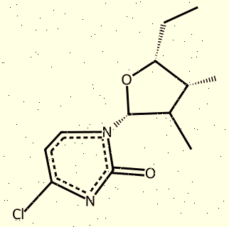 CC[C@H]1O[C@@H](n2ccc(Cl)nc2=O)C(C)[C@H]1C